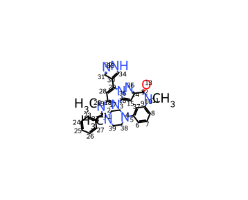 CN1CCN(c2cccc(N(C)C(=O)c3cc4nc(N(C)Cc5ccccc5)cc(-c5cn[nH]c5)n4n3)c2)CC1